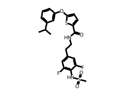 CC(C)c1cccc(Oc2ccc(C(=O)NCCc3cc(F)c(NS(C)(=O)=O)c(F)c3)s2)c1